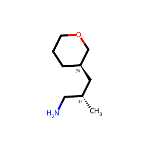 C[C@H](CN)C[C@H]1CCCOC1